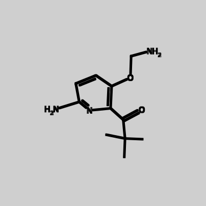 CC(C)(C)C(=O)c1nc(N)ccc1OCN